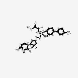 CC(C)OC(=O)[C@H](C)N[PH](O)(OC[C@@H]1C[C@@](C)(F)[C@H](n2ccc(=O)[nH]c2=O)O1)Oc1ccc(-c2ccc(C(F)(F)F)cc2)cc1